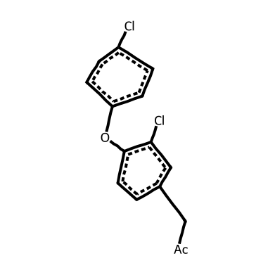 CC(=O)Cc1ccc(Oc2ccc(Cl)cc2)c(Cl)c1